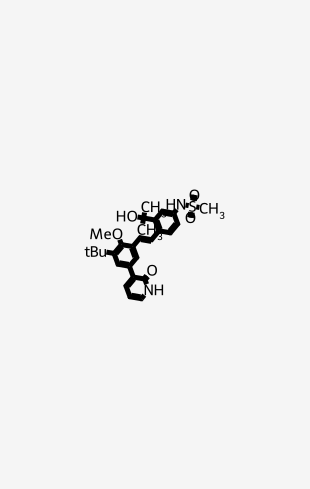 COc1c(/C=C/c2ccc(NS(C)(=O)=O)cc2C(C)(C)O)cc(-c2ccc[nH]c2=O)cc1C(C)(C)C